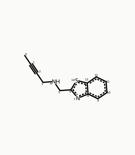 CC#CCNCc1nc2ccccc2s1